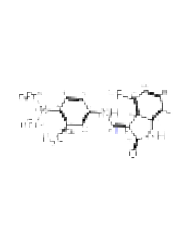 CCCN(CCC)c1ccc(N/C=C2/C(=O)Nc3cccc(F)c32)cc1C